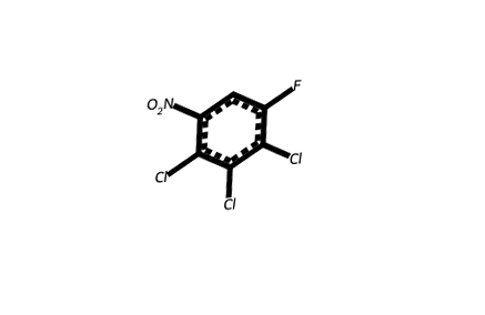 O=[N+]([O-])c1cc(F)c(Cl)c(Cl)c1Cl